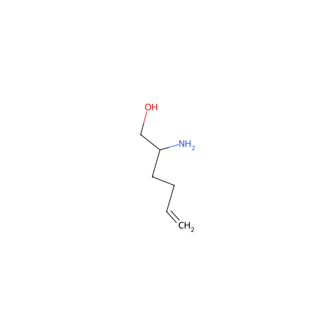 C=CCCC(N)CO